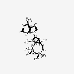 CC(C)[Si]1(C(C)C)OC[C@H]2C3[C@@H](n4cnc5c(N)ncnc54)C(O)[C@]32O[Si](C(C)C)(C(C)C)O1